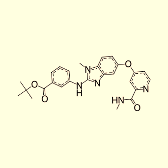 CNC(=O)c1cc(Oc2ccc3c(c2)nc(Nc2cccc(C(=O)OC(C)(C)C)c2)n3C)ccn1